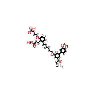 CCC(=O)c1cc(OCCCCCCc2cccc(OCCCC(=O)O)c2CCC(=O)O)cc(-c2ccc3c(c2)OCO3)c1